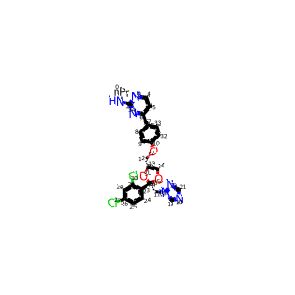 CCCNc1nccc(-c2ccc(OC[C@@H]3CO[C@@](Cn4cncn4)(c4ccc(Cl)cc4Cl)O3)cc2)n1